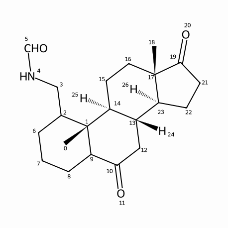 C[C@]12C(CNC=O)CCCC1C(=O)C[C@@H]1[C@@H]2CC[C@]2(C)C(=O)CC[C@@H]12